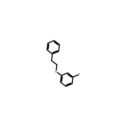 Fc1[c]ccc(OCCc2ccccc2)c1